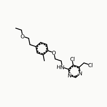 CCOCCc1ccc(OCCNc2ncnc(CCl)c2Cl)c(C)c1